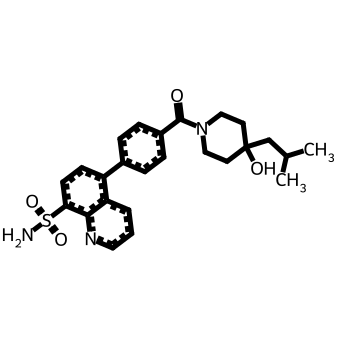 CC(C)CC1(O)CCN(C(=O)c2ccc(-c3ccc(S(N)(=O)=O)c4ncccc34)cc2)CC1